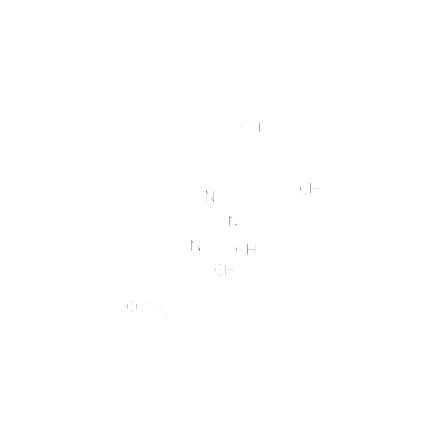 Cc1ccc(-c2nc3c(nc2-c2ccc(C)cc2)C(C(C)C)N(CCCCC(=O)O)CC3)cc1